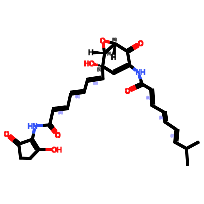 CC(C)/C=C/C=C/C=C/C(=O)NC1=C[C@@](O)(/C=C/C=C/C=C/C(=O)NC2=C(O)CCC2=O)[C@@H]2O[C@@H]2C1=O